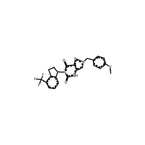 COc1ccc(Cn2cc3[nH]c(=O)n(C4CCc5c4cccc5C(F)(F)F)c(=O)c3n2)cc1